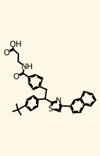 CC(C)(C)c1ccc(C(Cc2ccc(C(=O)NCCC(=O)O)cc2)c2nc(-c3ccc4ccccc4c3)cs2)cc1